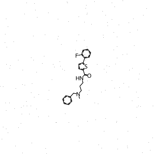 CN(CCCNC(=O)c1ccc(-c2ccccc2F)s1)Cc1ccccc1